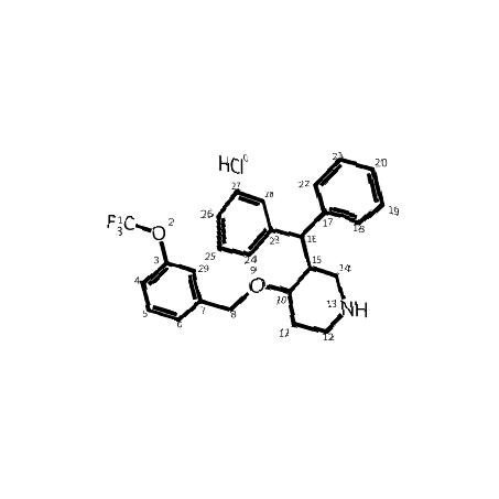 Cl.FC(F)(F)Oc1cccc(COC2CCNCC2C(c2ccccc2)c2ccccc2)c1